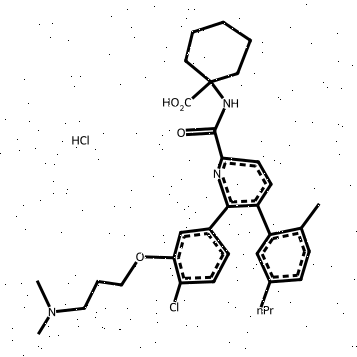 CCCc1ccc(C)c(-c2ccc(C(=O)NC3(C(=O)O)CCCCC3)nc2-c2ccc(Cl)c(OCCCN(C)C)c2)c1.Cl